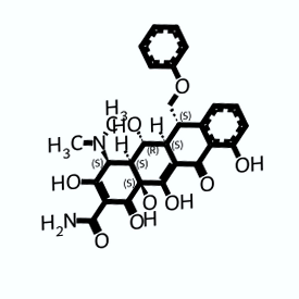 CN(C)[C@@H]1C(O)=C(C(N)=O)C(=O)[C@@]2(O)C(O)=C3C(=O)c4c(O)cccc4[C@@H](COc4ccccc4)[C@@H]3[C@@H](O)[C@H]12